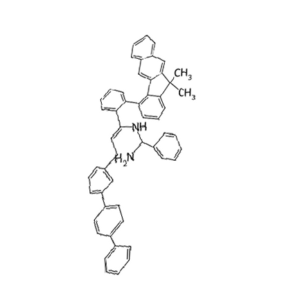 CC1(C)c2cc3ccccc3cc2-c2c(-c3ccccc3/C(=C/Cc3cccc(-c4ccc(-c5ccccc5)cc4)c3)NC(N)c3ccccc3)cccc21